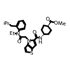 CCN(C(=O)Cn1c(C(=O)N[C@H]2CC[C@H](C(=O)OC)CC2)cc2sccc21)c1ccccc1CC(C)C